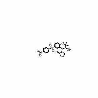 CC1(C)Oc2ccc(S(=O)(=O)c3ccc([N+](=O)[O-])cc3)cc2[C@@H](N2CCCC2=O)[C@@H]1O